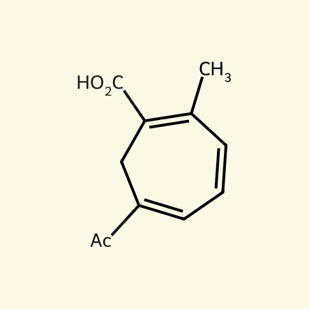 CC(=O)C1=CC=CC(C)=C(C(=O)O)C1